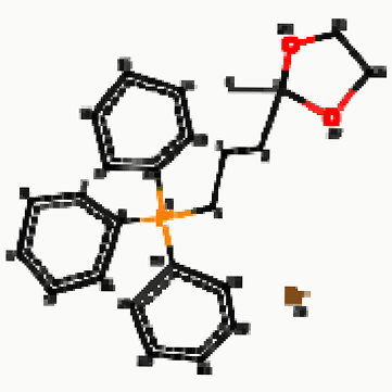 CC1(CCC[P+](c2ccccc2)(c2ccccc2)c2ccccc2)OCCO1.[Br-]